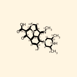 CN=c1c2c(N3CC(C)NC(C)C3)c(F)cc3c(=O)c(C(=O)O)c4scc1n4c32